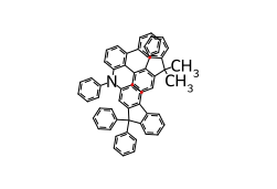 CC1(C)c2ccccc2-c2c(-c3c(-c4ccccc4)cccc3N(c3ccccc3)c3ccc4c(c3)C(c3ccccc3)(c3ccccc3)c3ccccc3-4)cccc21